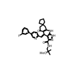 COC(C)(C)CNC(=O)c1n[nH]c2c1/C(=C/c1ccc(-c3cccc(F)c3)cn1)C1=C(CC3(CCCC3)CC1=O)N2